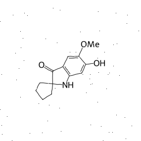 COc1cc2c(cc1O)NC1(CCCC1)C2=O